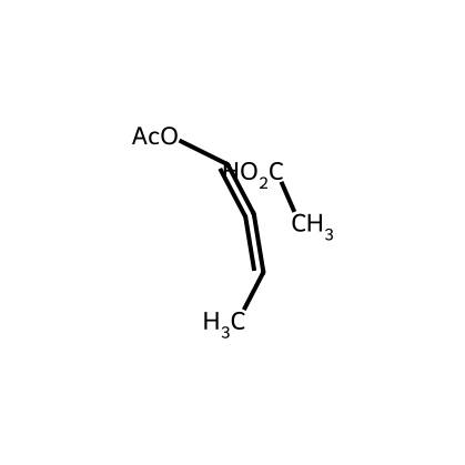 CC(=O)O.CC=C=COC(C)=O